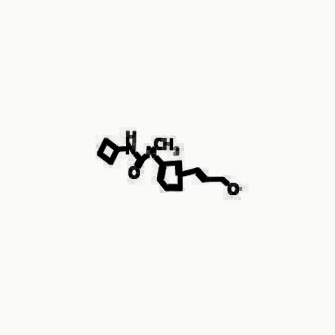 CN(C(=O)NC1CCC1)c1cccc(/C=C/C[O])c1